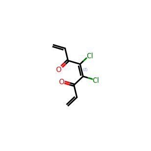 C=CC(=O)/C(Cl)=C(/Cl)C(=O)C=C